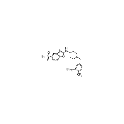 CCOc1cc(CN2CCC(Nc3nc4cc(S(=O)(=O)CC)ccc4o3)CC2)ccc1C(F)(F)F